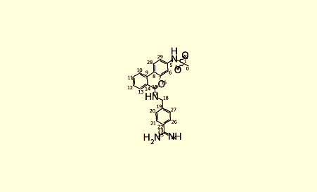 CS(=O)(=O)Nc1ccc(-c2ccccc2C(=O)NCc2ccc(C(=N)N)cc2)cc1